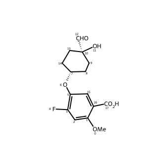 COc1cc(F)c(O[C@H]2CC[C@@](O)(C=O)CC2)cc1C(=O)O